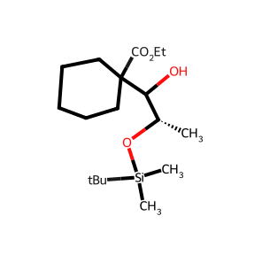 CCOC(=O)C1(C(O)[C@H](C)O[Si](C)(C)C(C)(C)C)CCCCC1